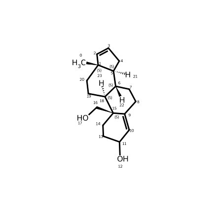 C[C@@]12C=CC[C@H]1[C@@H]1CCC3=CC(O)CC[C@]3(CO)[C@H]1CC2